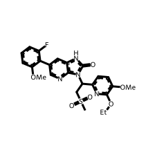 CCOc1nc(C(CS(C)(=O)=O)n2c(=O)[nH]c3cc(-c4c(F)cccc4OC)cnc32)ccc1OC